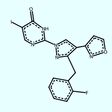 O=c1[nH]c(-n2cc(-c3ccon3)c(Cc3ccccc3F)n2)ncc1I